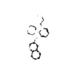 C1COCCN1.NCCN1C=CC=CC1.Nc1cnc2ccccc2c1